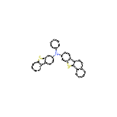 c1ccc(N(c2ccc3c(c2)sc2ccccc23)c2ccc3c(c2)sc2c4ccccc4ccc32)cc1